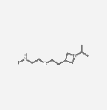 CC(C)N1CC(CCOCCNI)C1